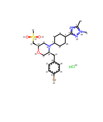 Cc1nc(C2CCC(N3C[C@H](CS(C)(=O)=O)OC[C@@H]3Cc3ccc(Br)cc3)CC2)nn1C.Cl